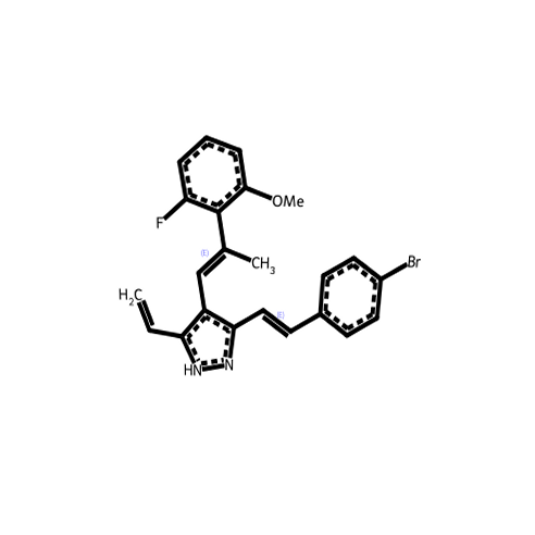 C=Cc1[nH]nc(/C=C/c2ccc(Br)cc2)c1/C=C(\C)c1c(F)cccc1OC